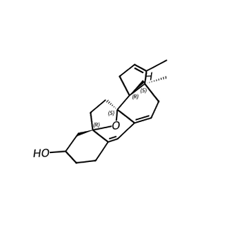 CC1=CC[C@@H]2[C@]1(C)CC=C1C=C3CCC(O)C[C@]34CC[C@@]12O4